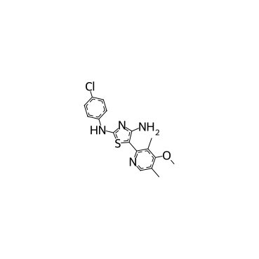 COc1c(C)cnc(-c2sc(Nc3ccc(Cl)cc3)nc2N)c1C